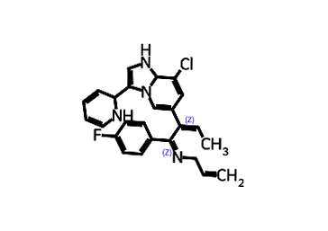 C=CC/N=C(\C(=C/C)C1=CN2C(C3C=CC=CN3)=CNC2C(Cl)=C1)c1ccc(F)cc1